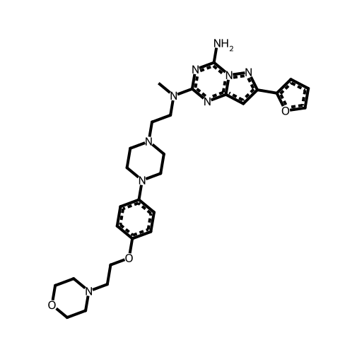 CN(CCN1CCN(c2ccc(OCCN3CCOCC3)cc2)CC1)c1nc(N)n2nc(-c3ccco3)cc2n1